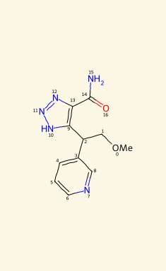 COCC(c1cccnc1)c1[nH]nnc1C(N)=O